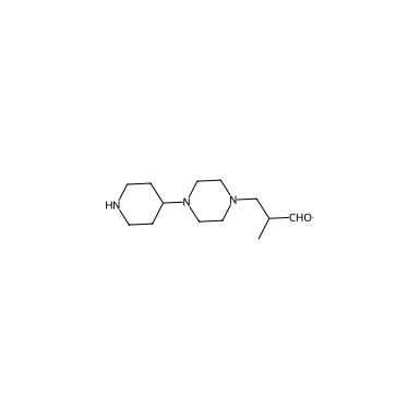 CC([C]=O)CN1CCN(C2CCNCC2)CC1